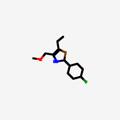 CCC1=C(COC)NC(C2CCC(F)CC2)S1